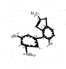 CC1=Cc2c(ccc(C(C)C)c2-c2cc(C(C)(C)C)cc(C(C)(C)C)c2)[CH]1